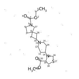 CCOC(=O)N1CCC2(CC(N3CCC(N4CSCC4C(=O)OC)CC3)C2)C1